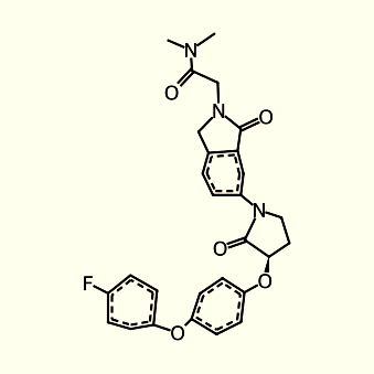 CN(C)C(=O)CN1Cc2ccc(N3CC[C@@H](Oc4ccc(Oc5ccc(F)cc5)cc4)C3=O)cc2C1=O